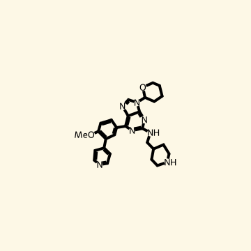 COc1ccc(-c2nc(NCC3CCNCC3)nc3c2ncn3C2CCCCO2)cc1-c1ccncc1